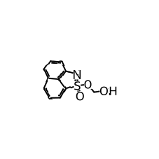 O=S1(OCO)=Nc2cccc3cccc1c23